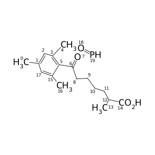 Cc1cc(C)c(C(=O)CCCCC(C)C(=O)O)c(C)c1.O=P